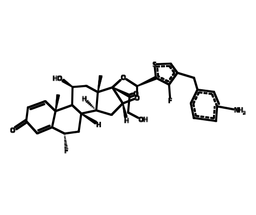 C[C@]12C=CC(=O)C=C1[C@@H](F)C[C@@H]1C2[C@@H](O)C[C@@]2(C)[C@H]1C[C@H]1O[C@H](c3scc(Cc4cccc(N)c4)c3F)O[C@]12C(=O)CO